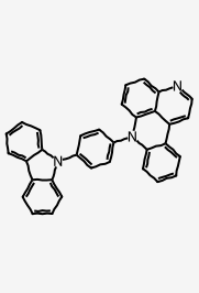 c1ccc2c(c1)-c1ccnc3cccc(c13)N2c1ccc(-n2c3ccccc3c3ccccc32)cc1